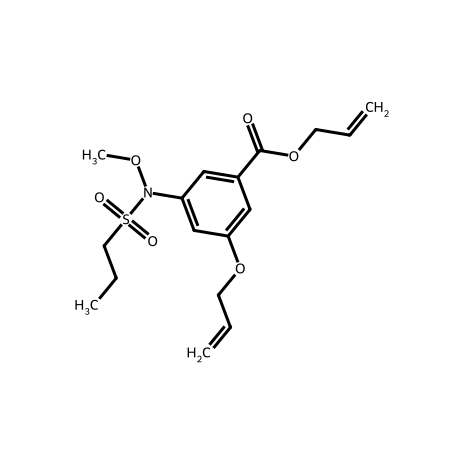 C=CCOC(=O)c1cc(OCC=C)cc(N(OC)S(=O)(=O)CCC)c1